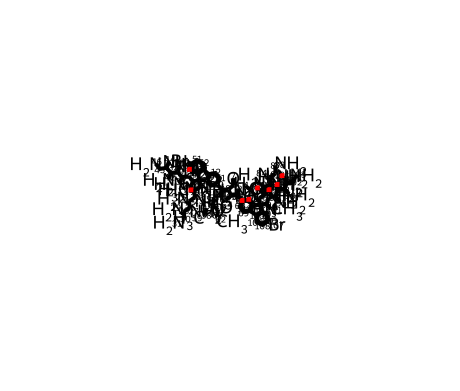 CCOC(CN1C(=O)C2=C(c3ccc4c(c3)C(C(NC)C(N)C(N)C(N)C(N)C(N)CN)(C(NC)C(N)C(N)C(N)C(N)C(N)CN)c3cc(Br)ccc3-4)N(CC(OCC)OCC)C(=O)C2=C1c1ccc2c(c1)C(C(NC)C(N)C(N)C(N)C(N)C(N)CN)(C(NC)C(N)C(N)C(N)C(N)C(N)CN)c1cc(Br)ccc1-2)OCC